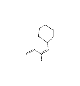 C=CC(C)=CC1CCCCC1